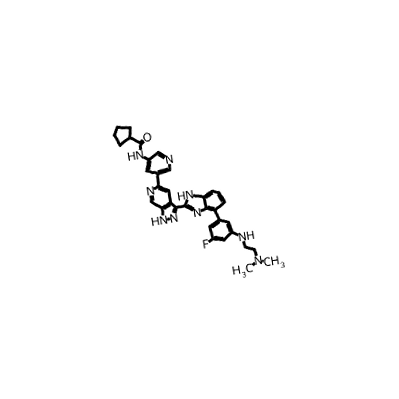 CN(C)CCNc1cc(F)cc(-c2cccc3[nH]c(-c4n[nH]c5cnc(-c6cncc(NC(=O)C7CCCC7)c6)cc45)nc23)c1